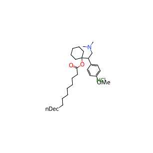 CCCCCCCCCCCCCCCCCC(=O)OC1(C(CN(C)C)c2ccc(OC)cc2)CCCCC1.Cl